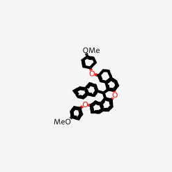 COC1=CCC(OC2=Cc3c(ccc4c3C(c3ccc5ccccc5c3)c3c(ccc5ccc(Oc6ccc(OC)cc6)cc35)O4)CC2)C=C1